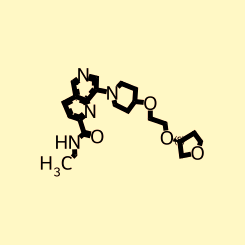 CCNC(=O)c1ccc2cncc(N3CCC(OCCO[C@H]4CCOC4)CC3)c2n1